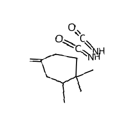 C=C1CCC(C)(C)C(C)C1.N=C=O.N=C=O